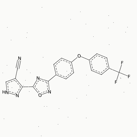 N#Cc1c[nH]nc1-c1nc(-c2ccc(Oc3ccc(C(F)(F)F)cc3)cc2)no1